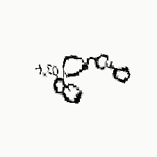 COc1ccc2cccnc2c1N1CCCN(CC2CCN(C3CCCC3)CC2)CC1